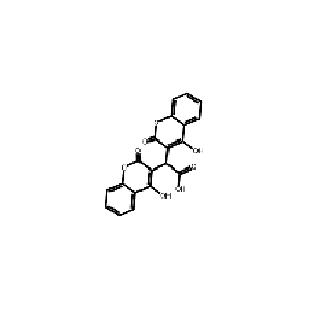 O=C(O)C(c1c(O)c2ccccc2oc1=O)c1c(O)c2ccccc2oc1=O